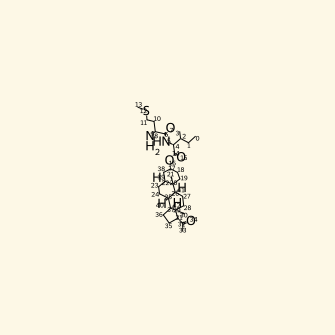 CCC(C)[C@H](NC(=O)[C@@H](N)CCSC)C(=O)O[C@@H]1CC[C@@]2(C)[C@@H](CC[C@@H]3[C@@H]2CC[C@]2(C)[C@@H](C(C)=O)CC[C@@H]32)C1